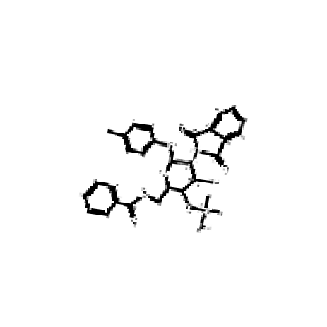 Cc1ccc(SC2OC(COC(=O)c3ccccc3)C(O[Si](C)(C)C(C)(C)C)[C@H](C)[C@@H]2N2C(=O)c3ccccc3C2=O)cc1